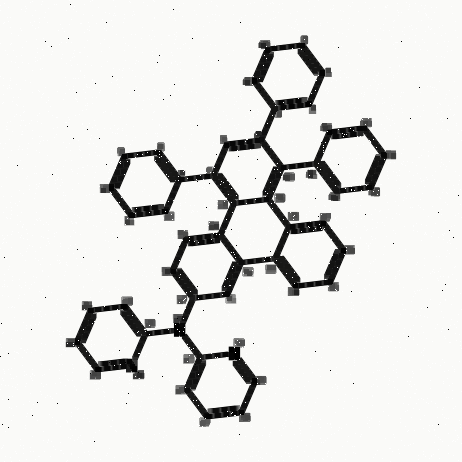 c1ccc(-c2cc(-c3ccccc3)c3c4ccc(N(c5ccccn5)c5ccccn5)cc4c4ccccc4c3c2-c2ccccc2)cc1